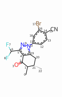 CC1C(=O)c2c(C(F)F)nn(-c3ccc(C#N)c(Br)c3)c2C[C@@H]1C